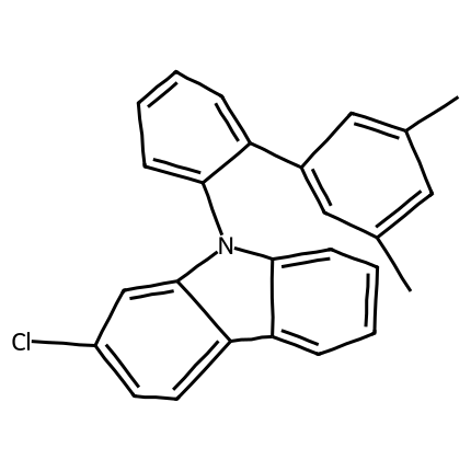 Cc1cc(C)cc(-c2ccccc2-n2c3ccccc3c3ccc(Cl)cc32)c1